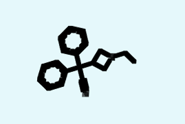 CCN1CC(C(C#N)(c2ccccc2)c2ccccc2)C1